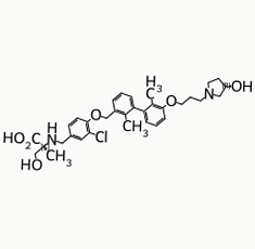 Cc1c(COc2ccc(CN[C@@](C)(CO)C(=O)O)cc2Cl)cccc1-c1cccc(OCCCN2CC[C@@H](O)C2)c1C